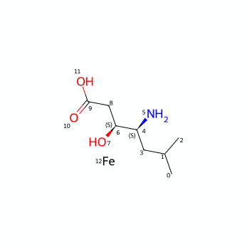 CC(C)C[C@H](N)[C@@H](O)CC(=O)O.[Fe]